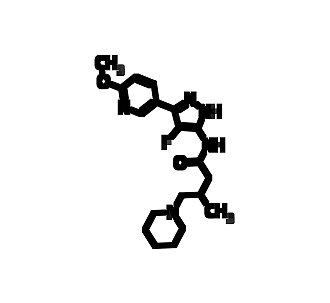 COc1ccc(-c2n[nH]c(NC(=O)CC(C)CN3CCCCC3)c2F)cn1